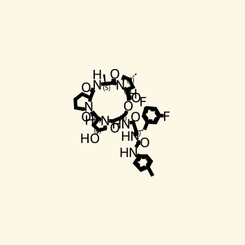 Cc1ccc(NC(=O)N[C@@H](Cc2cc(F)cc(F)c2)C(=O)N[C@H]2COC(=O)[C@@H]3C[C@@H](C)CN3C(=O)[C@H](C)NC(=O)C3CCCCN3C(=O)[C@@H]3C[C@@H](O)CN3C2=O)cc1